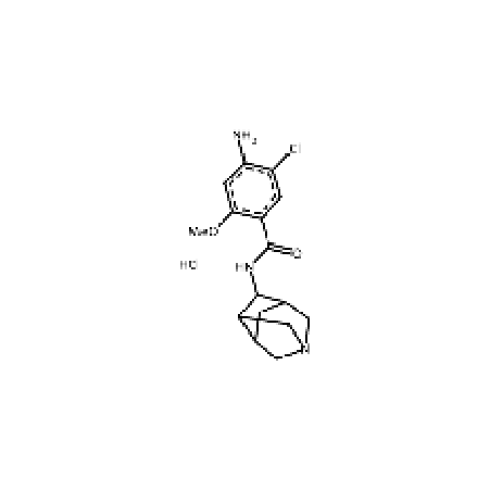 COc1cc(N)c(Cl)cc1C(=O)NC1C2CC3CN(C2)CC31.Cl